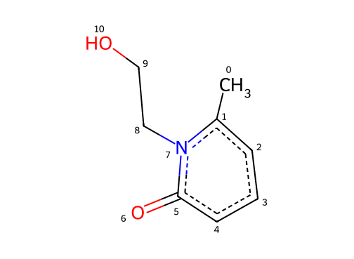 Cc1cccc(=O)n1CCO